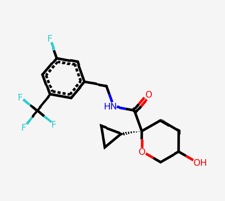 O=C(NCc1cc(F)cc(C(F)(F)F)c1)[C@@]1(C2CC2)CCC(O)CO1